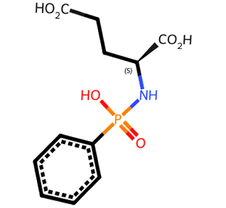 O=C(O)CC[C@H](NP(=O)(O)c1ccccc1)C(=O)O